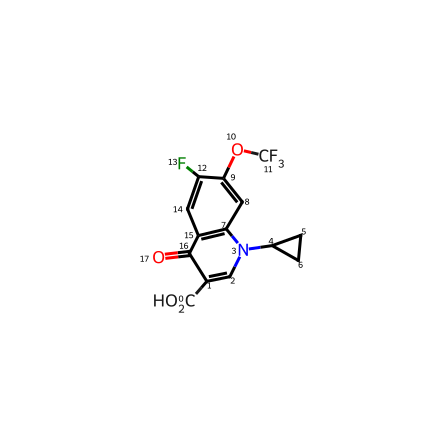 O=C(O)c1cn(C2CC2)c2cc(OC(F)(F)F)c(F)cc2c1=O